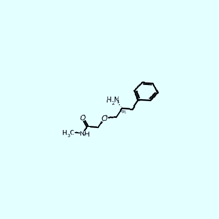 CNC(=O)COC[C@H](N)Cc1ccccc1